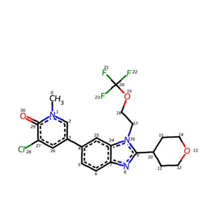 Cn1cc(-c2ccc3nc(C4CCOCC4)n(CCOC(F)(F)F)c3c2)cc(Cl)c1=O